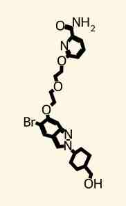 NC(=O)c1cccc(OCCOCCOc2cc3nn(C4CCC(CO)CC4)cc3cc2Br)n1